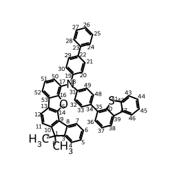 CC1(C)c2ccccc2-c2c1ccc1c2oc2c(N(c3ccc(-c4ccccc4)cc3)c3ccc(-c4cccc5c4sc4ccccc45)cc3)cccc21